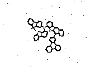 CC1(C)c2ccccc2-c2ccc(N(c3cccc4c3Cc3ccccc3-4)c3cccc4c3oc3c(-c5ccc6c7ccccc7c7ccccc7c6c5)c5ccccc5cc34)cc21